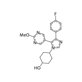 COc1ncc(-c2c(-c3ccc(F)cc3)ncn2C2CCC(O)CC2)cn1